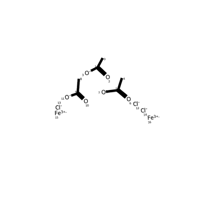 CC(=O)[O-].CC(=O)[O-].CC(=O)[O-].[Cl-].[Cl-].[Cl-].[Fe+3].[Fe+3]